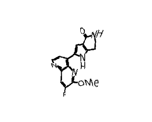 COc1nc2c(-c3cc4c([nH]3)CCNC4=O)ccnc2cc1F